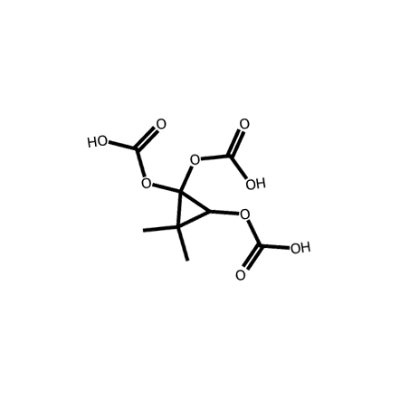 CC1(C)C(OC(=O)O)C1(OC(=O)O)OC(=O)O